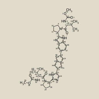 COC(=O)N[C@@H](C(=O)N1CCCC1c1nc2cc(-c3cc4sc(-c5cnc([C@H]6CCCN6C(=O)[C@H](NC(=O)OC)C(C)C)[nH]5)cc4s3)ccc2[nH]1)C(C)C